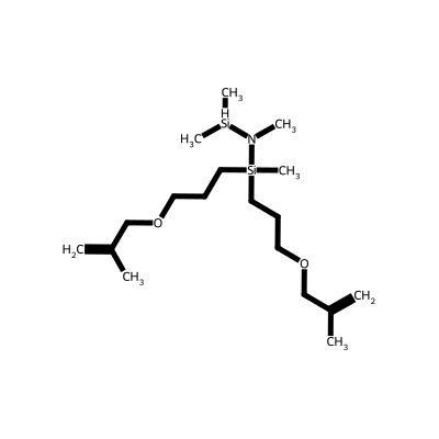 C=C(C)COCCC[Si](C)(CCCOCC(=C)C)N(C)[SiH](C)C